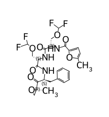 Cc1ccc(C(=O)N[C@@H](COC(F)F)C(=O)N[C@@H](COC(F)F)C(=O)N[C@@H](Cc2ccccc2)C(=O)[C@@]2(C)CO2)o1